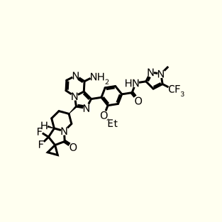 CCOc1cc(C(=O)Nc2cc(C(F)(F)F)n(C)n2)ccc1-c1nc([C@@H]2CC[C@@H]3N(C2)C(=O)C2(CC2)C3(F)F)n2ccnc(N)c12